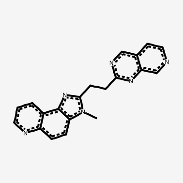 Cn1c(CCc2ncc3ccncc3n2)nc2c3cccnc3ccc21